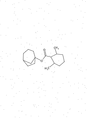 CC1CCCC(C)C1C(=O)OC12CCCC(CC1)C2